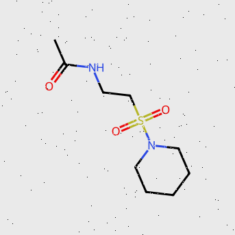 CC(=O)NCCS(=O)(=O)N1CCCCC1